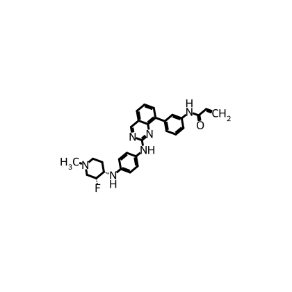 C=CC(=O)Nc1cccc(-c2cccc3cnc(Nc4ccc(N[C@H]5CCN(C)C[C@H]5F)cc4)nc23)c1